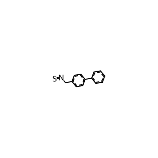 S=NCc1ccc(-c2ccccc2)cc1